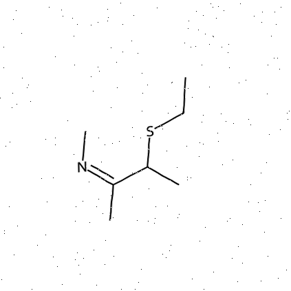 CCSC(C)/C(C)=N\C